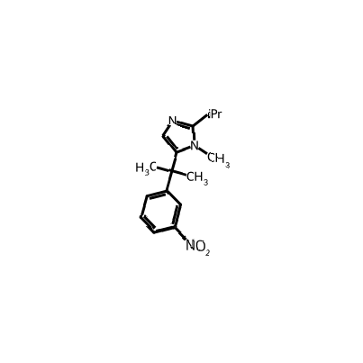 CC(C)c1ncc(C(C)(C)c2cccc([N+](=O)[O-])c2)n1C